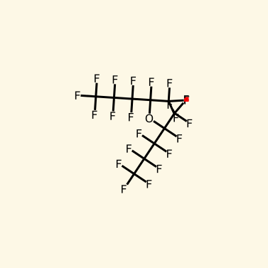 FC(F)(F)C(F)(F)C(F)(F)C(F)(OC(F)(C(F)(F)F)C(F)(F)C(F)(F)C(F)(F)F)C(F)(F)F